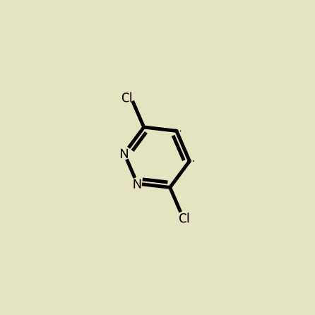 Clc1[c][c]c(Cl)nn1